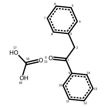 O=C(Cc1ccccc1)c1ccccc1.O=C(O)O